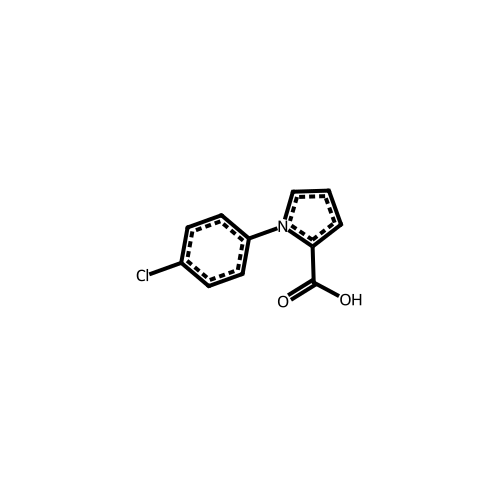 O=C(O)c1cccn1-c1ccc(Cl)cc1